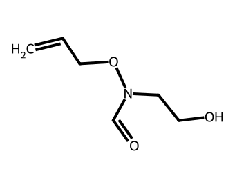 C=CCON(C=O)CCO